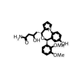 COc1cccc([C@H]2O[C@H](CC(O)CC(N)=O)c3cccn3-c3ccc(O)cc32)c1OC